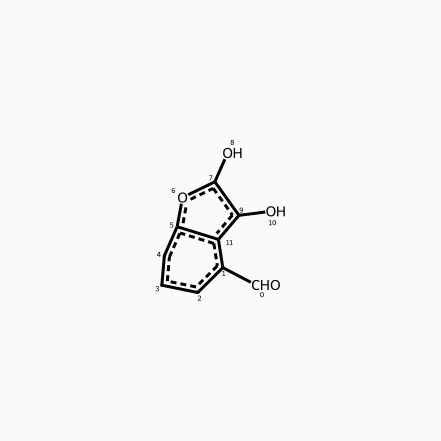 O=Cc1cccc2oc(O)c(O)c12